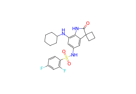 O=C1Nc2c(NC3CCCCC3)cc(NS(=O)(=O)c3ccc(F)cc3F)cc2C12CCC2